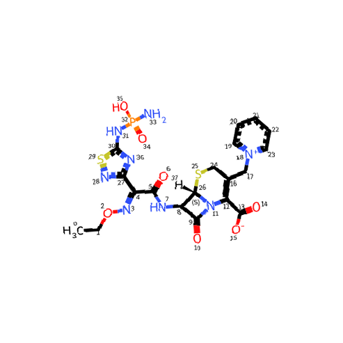 CCON=C(C(=O)NC1C(=O)N2C(C(=O)[O-])=C(C[n+]3ccccc3)CS[C@@H]12)c1nsc(NP(N)(=O)O)n1